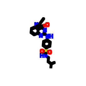 CC(C)CCNS(=O)(=O)c1ccc(NC2=NCC34CC(=O)C(C)C=NC3=CC=CC4=N2)cc1